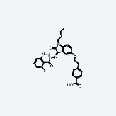 CCCCN1C(=O)C(=NNC(=O)c2c(N)cccc2F)c2cc(SCCc3ccc(C(=O)O)cc3)ccc21